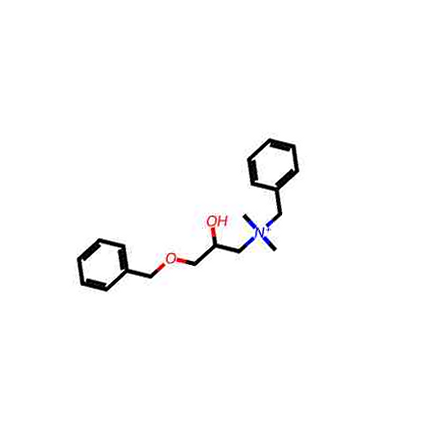 C[N+](C)(Cc1ccccc1)CC(O)COCc1ccccc1